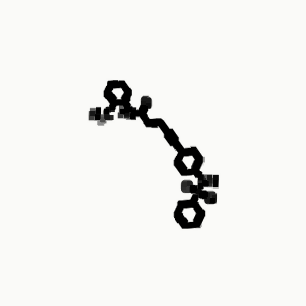 Cc1ccccc1NC(=O)/C=C/C#Cc1ccc(NS(=O)(=O)c2ccccc2)cc1